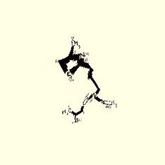 CC[C@H](C)C(C)CON(C)CCCc1nc(C)cs1